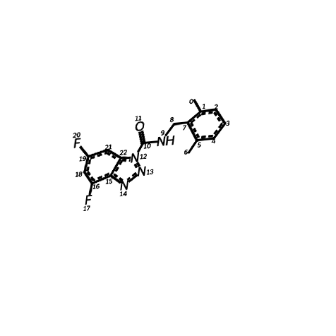 Cc1cccc(C)c1CNC(=O)n1nnc2c(F)cc(F)cc21